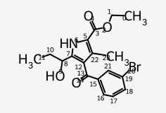 CCOC(=O)c1[nH]c(C(O)CC)c(C(=O)c2cccc(Br)c2)c1C